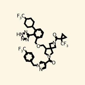 O=C(c1cnn(Cc2ccc(C(F)(F)F)cc2)c1)N1CC(COCc2cccc(C3CCC(C(F)(F)F)CC3)c2-c2nn[nH]n2)C2(C1)CN(C(=O)C1(C(F)(F)F)CC1)C2